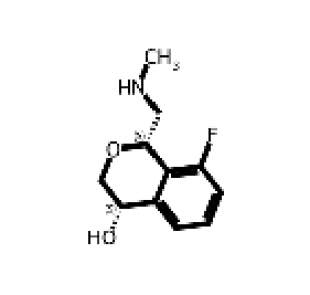 CNC[C@H]1OC[C@@H](O)c2cccc(F)c21